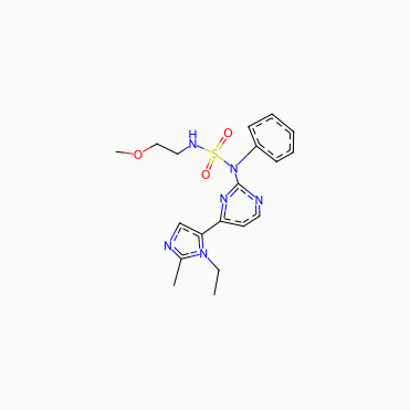 CCn1c(-c2ccnc(N(c3ccccc3)S(=O)(=O)NCCOC)n2)cnc1C